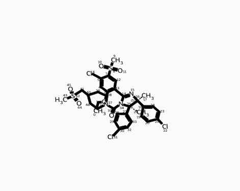 CCOc1cc(Cl)c(S(C)(=O)=O)cc1C1=N[C@@](C)(c2ccc(Cl)cc2)[C@@](C)(c2ccc(Cl)cc2)N1C(=O)N1CCC(CS(C)(=O)=O)CC1